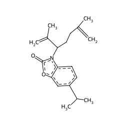 C=C(C)CCC(C(=C)C)n1c(=O)oc2cc(C(C)C)ccc21